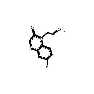 C=CCn1c(=O)cnc2cc(F)ccc21